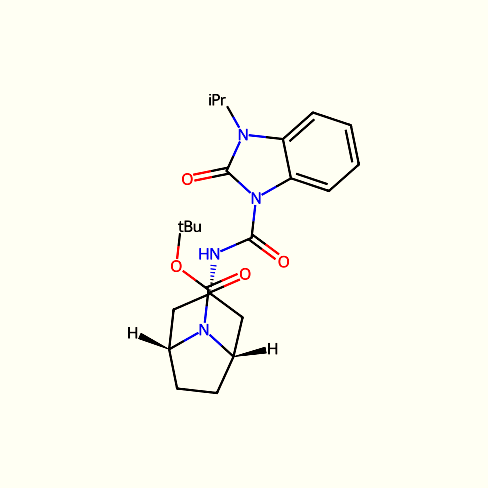 CC(C)n1c(=O)n(C(=O)N[C@H]2C[C@H]3CC[C@@H](C2)N3C(=O)OC(C)(C)C)c2ccccc21